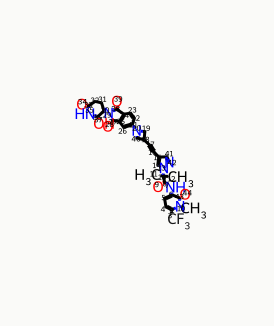 Cn1c(C(F)(F)F)ccc(NC(=O)C(C)(C)n2cc(C#CC3CN(c4ccc5c(c4)C(=O)N(C4CCC(=O)NC4O)C5=O)C3)cn2)c1=O